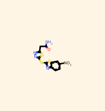 NC(=O)Cc1nnc(Sc2nc3ccc([N+](=O)[O-])cc3s2)s1